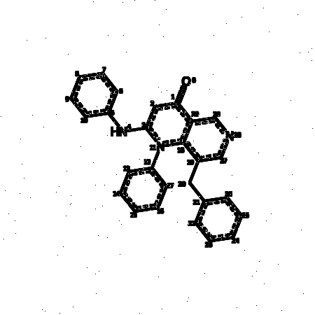 O=c1cc(Nc2ccccc2)n(-c2ccccc2)c2c(Cc3ccccc3)cncc12